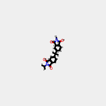 CC(C)N1C(=O)c2ccc(C(C)(C)c3ccc4c(c3)C(=O)N(C)C4=O)cc2C1=O